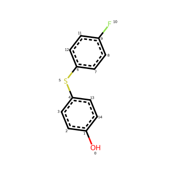 Oc1ccc(Sc2ccc(F)cc2)cc1